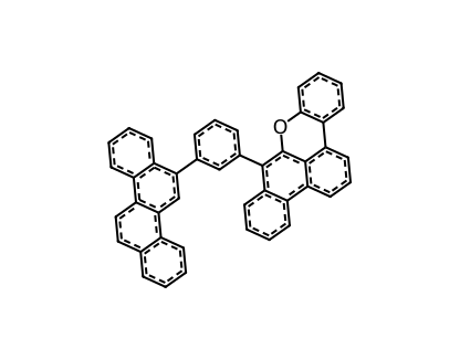 c1cc(-c2c3c4c(cccc4c4ccccc24)-c2ccccc2O3)cc(-c2cc3c4ccccc4ccc3c3ccccc23)c1